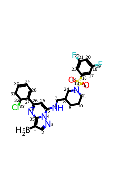 Bc1cnn2c(NCC3CCCN(S(=O)(=O)c4cc(F)cc(F)c4)C3)cc(C3=CC=CCC3Cl)nc12